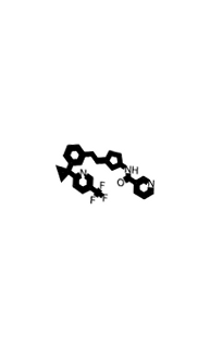 O=C(NC1CC/C(=C\Cc2cccc(C3(c4ccc(C(F)(F)F)cn4)CC3)c2)C1)c1cccnc1